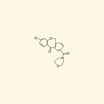 O=C1c2cc(C(=O)N3CCOCC3)ccc2COc2cc(Cl)ccc21